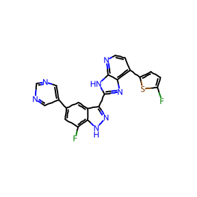 Fc1ccc(-c2ccnc3[nH]c(-c4n[nH]c5c(F)cc(-c6cncnc6)cc45)nc23)s1